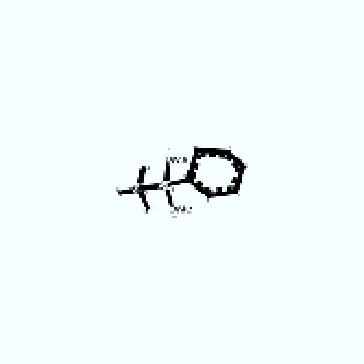 CO[Si](OC)(c1ccccc1)[Si](C)(C)C